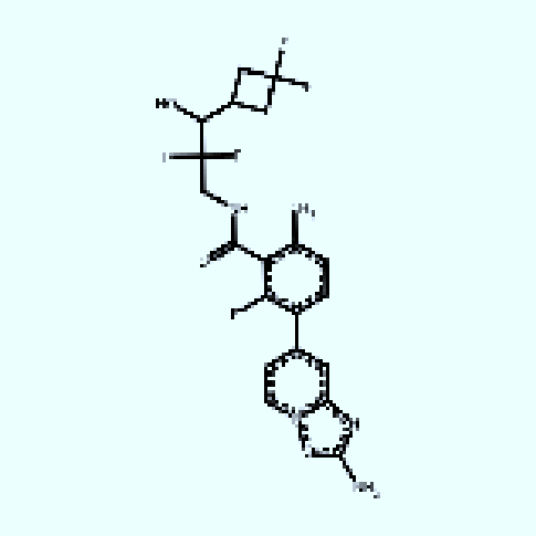 Cc1ccc(-c2ccn3nc(N)nc3c2)c(F)c1C(=O)NCC(F)(F)C(O)C1CC(F)(F)C1